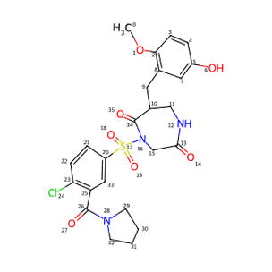 COc1ccc(O)cc1CC1CNC(=O)CN(S(=O)(=O)c2ccc(Cl)c(C(=O)N3CCCC3)c2)C1=O